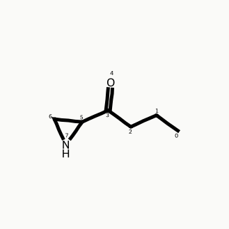 CCCC(=O)C1CN1